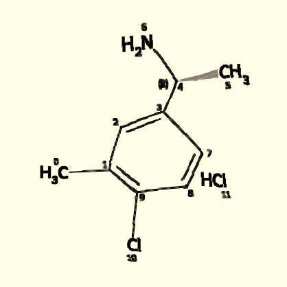 Cc1cc([C@@H](C)N)ccc1Cl.Cl